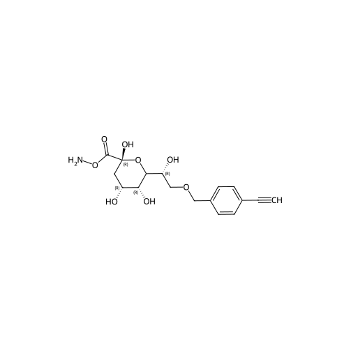 C#Cc1ccc(COC[C@@H](O)C2O[C@@](O)(C(=O)ON)C[C@@H](O)[C@H]2O)cc1